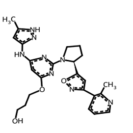 Cc1cc(Nc2cc(OCCCO)nc(N3CCC[C@H]3c3cc(-c4cccnc4C)no3)n2)n[nH]1